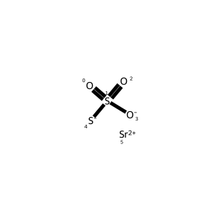 O=S(=O)([O-])[S-].[Sr+2]